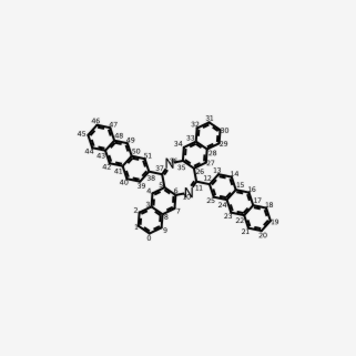 c1ccc2cc3c(cc2c1)/N=C(/c1ccc2cc4ccccc4cc2c1)c1cc2ccccc2cc1/N=C\3c1ccc2cc3ccccc3cc2c1